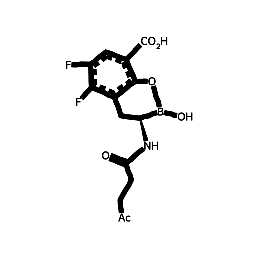 CC(=O)CCC(=O)N[C@H]1Cc2c(F)c(F)cc(C(=O)O)c2OB1O